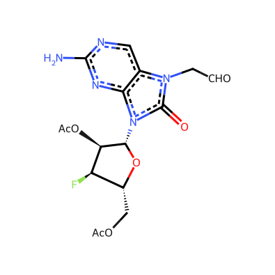 CC(=O)OC[C@H]1O[C@@H](n2c(=O)n(CC=O)c3cnc(N)nc32)[C@H](OC(C)=O)[C@@H]1F